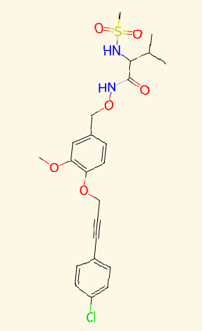 COc1cc(CONC(=O)C(NS(C)(=O)=O)C(C)C)ccc1OCC#Cc1ccc(Cl)cc1